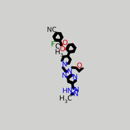 Cc1nnc(-c2cnc3c(c2)nc(CN2CCC(c4cccc5c4OC(C)(c4ccc(C#N)cc4F)O5)CC2)n3CC2CCO2)[nH]1